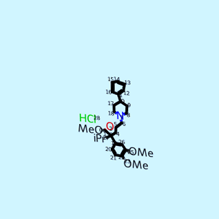 COC(=O)C(CCCN1CCC(c2ccccc2)CC1)(c1ccc(OC)c(OC)c1)C(C)C.Cl